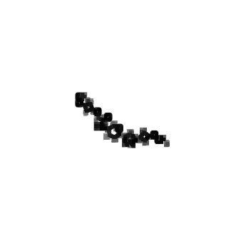 O=C(COC1CC(OC(F)(F)F)C1)N[C@@H]1CC[C@@H](c2cn(C3CC(OC(F)(F)F)C3)nn2)OC1